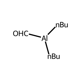 CCC[CH2][Al]([CH]=O)[CH2]CCC